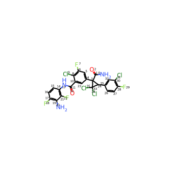 NC(=O)C1(c2cc(F)c(Cl)c(C(=O)Nc3ccc(F)c(N)c3F)c2)C(c2ccc(F)c(Cl)c2)C1(Cl)Cl